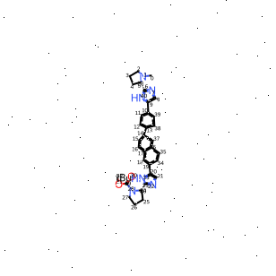 CN1CCC[C@H]1c1ncc(-c2ccc(-c3ccc4cc(-c5cnc([C@@H]6CCCN6C(=O)OC(C)(C)C)[nH]5)ccc4c3)cc2)[nH]1